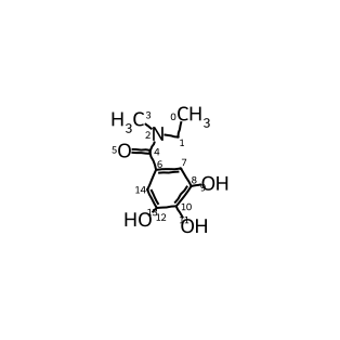 CCN(C)C(=O)c1cc(O)c(O)c(O)c1